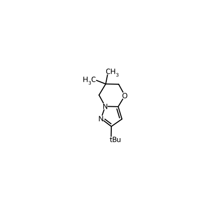 CC1(C)COc2cc(C(C)(C)C)nn2C1